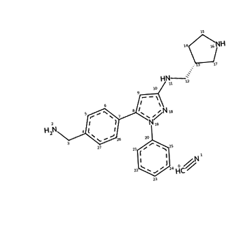 C#N.NCc1ccc(-c2cc(NC[C@@H]3CCNC3)nn2-c2ccccc2)cc1